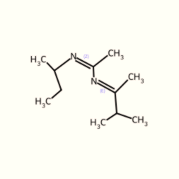 CCC(C)/N=C(C)\N=C(/C)C(C)C